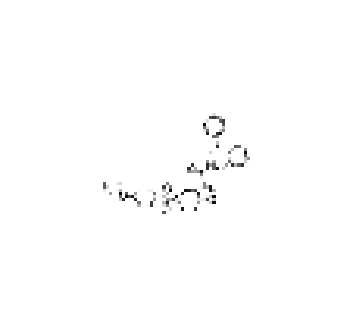 O=C(c1noc2c1CN(S(=O)(=O)c1ccc(OC(F)(F)F)cc1)CC2)N(CCc1ccccc1)Cc1ccccc1